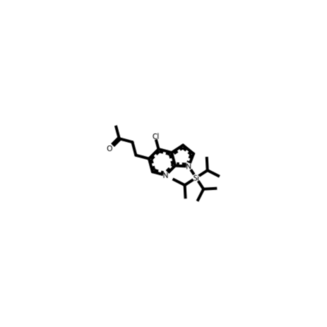 CC(=O)CCc1cnc2c(ccn2[Si](C(C)C)(C(C)C)C(C)C)c1Cl